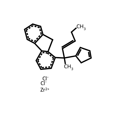 CCC=CC(C)(C1=CC=CC1)c1cccc2c1Cc1ccccc1-2.[Cl-].[Cl-].[Zr+2]